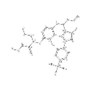 C=CCC(Oc1ccc(CC(OCC)C(=O)OCC)c(C)c1)c1sc(-c2ccc(C(F)(F)F)cc2)nc1C